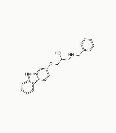 OC(CNCc1ccccc1)COc1ccc2c(c1)[nH]c1ccccc12